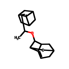 CC(OC1C2CC3CC=C2C1C3)C1=C2C3CC(C1)CC2C3